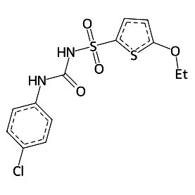 CCOc1ccc(S(=O)(=O)NC(=O)Nc2ccc(Cl)cc2)s1